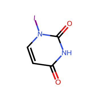 O=c1ccn(I)c(=O)[nH]1